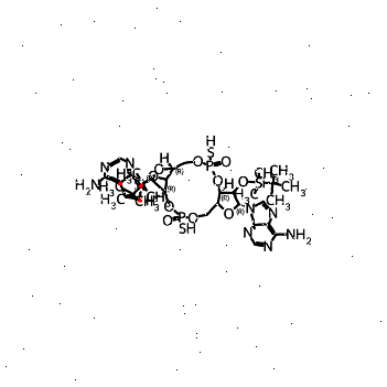 CC(C)(C)[Si](C)(C)OC1[C@@H]2OP(=O)(S)OC[C@H]3O[C@@H](n4ccc5c(N)ncnc54)[C@H](OP(=O)(S)OCC2O[C@H]1n1cnc2c(N)ncnc21)C3O[Si](C)(C)C(C)(C)C